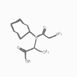 CC(C(=O)O)N(C(=O)CN)C1CCCCC1